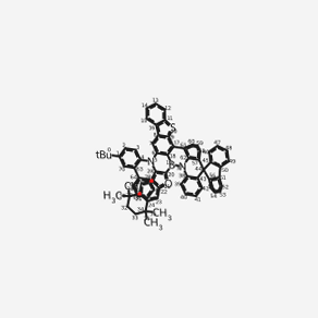 CC(C)(C)c1ccc(N2c3cc4c(sc5ccccc54)c4c3B(c3oc5cc6c(cc5c32)C(C)(C)CCC6(C)C)N2c3ccccc3C3(c5ccccc5-c5ccccc53)c3cccc-4c32)c(-c2ccccc2)c1